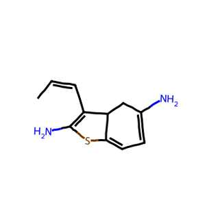 C/C=C\C1=C(N)SC2=CC=C(N)CC21